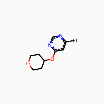 CCc1cc(OC2CCOCC2)ncn1